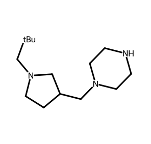 CC(C)(C)CN1CCC(CN2CCNCC2)C1